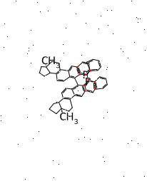 C[C@@]12CCCC1c1ccc3c(-c4c(P(c5ccccc5)c5ccccc5)ccc5c6c(ccc45)C4CCC[C@@]4(C)CC6)c(P(c4ccccc4)c4ccccc4)ccc3c1CC2